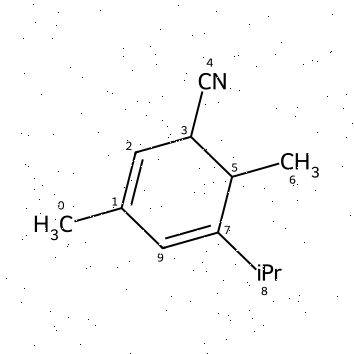 CC1=CC(C#N)C(C)C(C(C)C)=C1